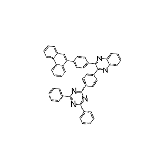 c1ccc(-c2nc(-c3ccccc3)nc(-c3ccc(-c4nc5ccccc5nc4-c4ccc(-c5cc6ccccc6c6ccccc56)cc4)cc3)n2)cc1